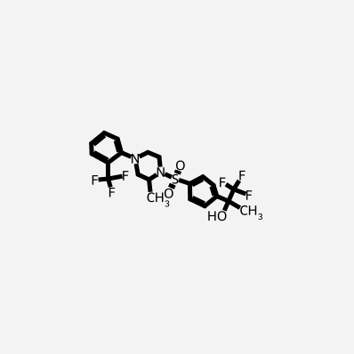 CC1CN(c2ccccc2C(F)(F)F)CCN1S(=O)(=O)c1ccc(C(C)(O)C(F)(F)F)cc1